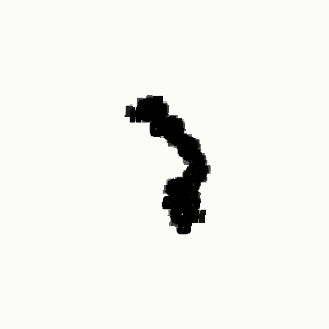 [2H]c1ccc2ncn(-c3cnc(N4CCC(CN5CCC(Oc6cccc7c6C(=O)N(C6CCC(=O)NC6=O)C7=O)CC5)CC4)nc3)c(=O)c2c1